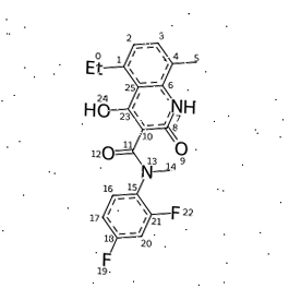 CCc1ccc(C)c2[nH]c(=O)c(C(=O)N(C)c3ccc(F)cc3F)c(O)c12